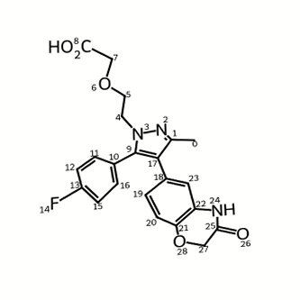 Cc1nn(CCOCC(=O)O)c(-c2ccc(F)cc2)c1-c1ccc2c(c1)NC(=O)CO2